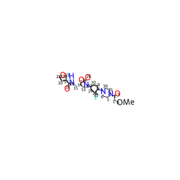 COCC(=O)N1CCN(c2ccc(N3C[C@H](CNC(=O)c4ccoc4)OC3=O)cc2F)CC1